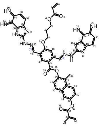 C=CC(=O)OCCCOc1cc(/C=N/Nc2nc3c(s2)C=CC(=N)C3=N)c(C(=O)Oc2ccc3cc(OC(=O)C(=C)C)ccc3c2C)cc1/C=N/Nc1nc2c(s1)C=CC(=N)C2=N